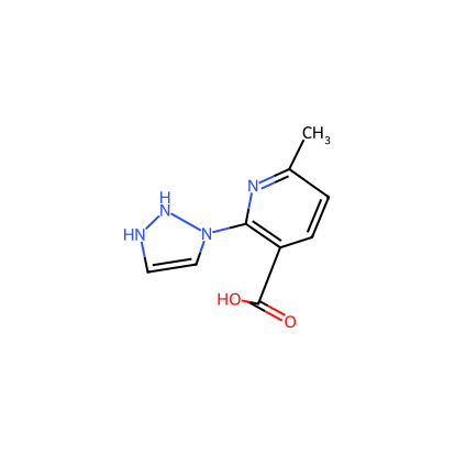 Cc1ccc(C(=O)O)c(N2C=CNN2)n1